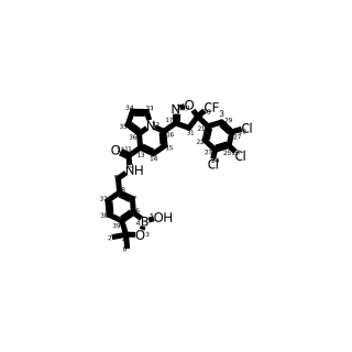 CC1(C)OB(O)c2cc(CNC(=O)c3ccc(C4=NOC(c5cc(Cl)c(Cl)c(Cl)c5)(C(F)(F)F)C4)n4cccc34)ccc21